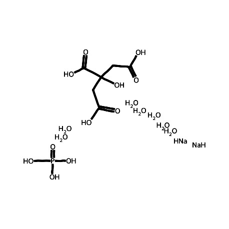 O.O.O.O.O.O.O.O=C(O)CC(O)(CC(=O)O)C(=O)O.O=P(O)(O)O.[NaH].[NaH]